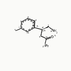 Cc1cccc([C@@H](CN)CC(=O)C(C)C)c1